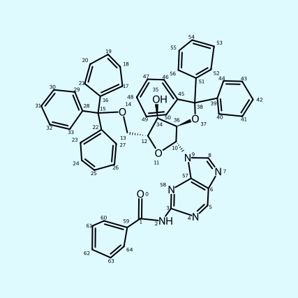 O=C(Nc1ncc2ncn([C@@H]3O[C@H](COC(c4ccccc4)(c4ccccc4)c4ccccc4)[C@@H](O)[C@H]3OC(c3ccccc3)(c3ccccc3)c3ccccc3)c2n1)c1ccccc1